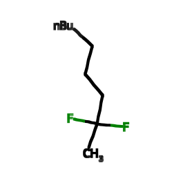 CCCCCCCC(C)(F)F